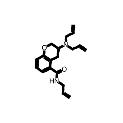 C=CCNC(=O)c1cccc2c1CC(N(CC=C)CC=C)CO2